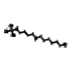 CC[Si](CC)(CC)OCCCCOCCCCCCBr